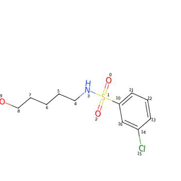 O=S(=O)(NCCCCCO)c1cccc(Cl)c1